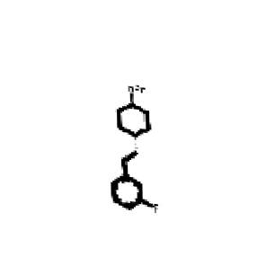 CCC[C@H]1CC[C@H](CCc2cccc(F)c2)CC1